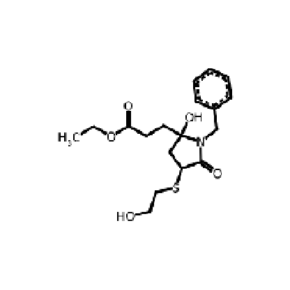 CCOC(=O)CCC1(O)CC(SCCO)C(=O)N1Cc1ccccc1